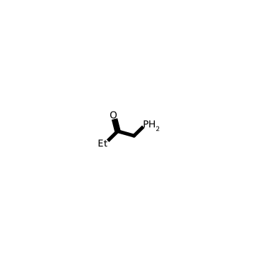 CCC(=O)CP